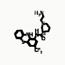 NCCN1CCC[C@H](C(=O)Nc2cc(C(F)(F)F)cc3c2Nc2ccccc2S3)C1